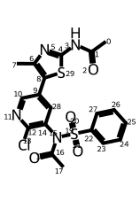 CC(=O)Nc1nc(C)c(-c2cnc(Cl)c(N(C(C)=O)S(=O)(=O)c3ccccc3)c2)s1